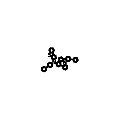 c1ccc(-c2ccc(N(c3ccc(-c4ccccc4-n4c5ccccc5c5ccc(-c6ccccc6)cc54)cc3)c3ccc4c(c3)sc3ccccc34)cc2)cc1